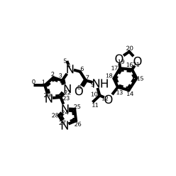 Cc1cc(N(C)CC(=O)NC(C)Oc2ccc3c(c2)OCO3)nc(-n2ccnc2)n1